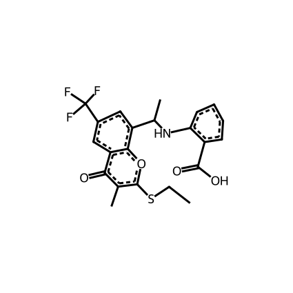 CCSc1oc2c(C(C)Nc3ccccc3C(=O)O)cc(C(F)(F)F)cc2c(=O)c1C